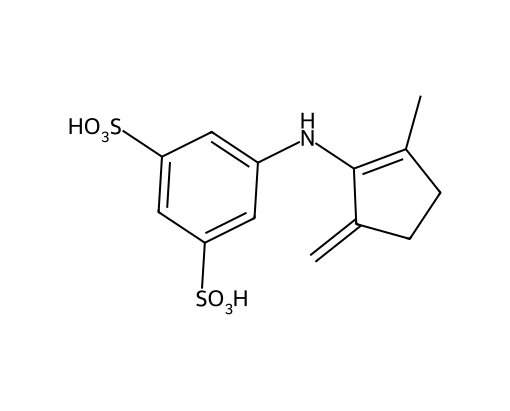 C=C1CCC(C)=C1Nc1cc(S(=O)(=O)O)cc(S(=O)(=O)O)c1